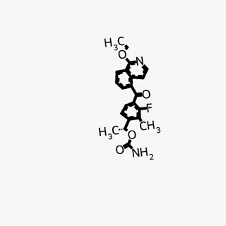 CCOc1nccc2c(C(=O)c3ccc([C@@H](C)OC(N)=O)c(C)c3F)cccc12